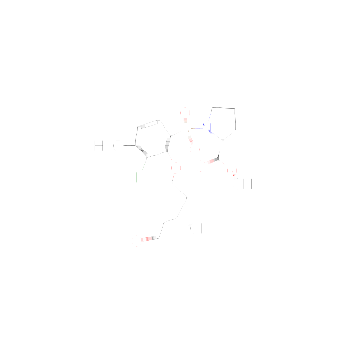 COC(=O)[C@@H]1CCCN1S(=O)(=O)c1ccc(C)c(F)c1OCC[C@H](C)CC=O